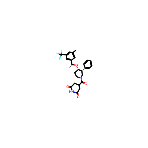 Cc1cc([C@@H](C)O[C@H]2CCN(C(=O)C3CC(=O)NC(=O)C3)C[C@H]2c2ccccc2)cc(C(F)(F)F)c1